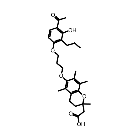 CCCc1c(OCCCOc2c(C)c(C)c3c(c2C)CCC(C)(CC(=O)O)O3)ccc(C(C)=O)c1O